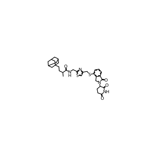 CC(CCC12CC3CC(CC(C3)C1)C2)C(=O)NCc1nc(CSc2cccc3c2CN(C2CCC(=O)NC2=O)C3=O)cs1